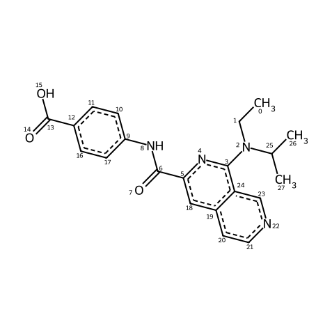 CCN(c1nc(C(=O)Nc2ccc(C(=O)O)cc2)cc2ccncc12)C(C)C